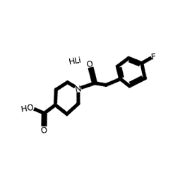 O=C(O)C1CCN(C(=O)Cc2ccc(F)cc2)CC1.[LiH]